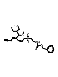 C#CC/C=C(\C=C/CS(=O)(=O)CCNC(=O)OCc1ccccc1)C(OC)C(CN)CF